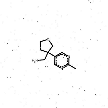 Cc1ncc(C2(CN)CCOC2)cn1